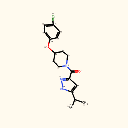 CC(C)c1cc(C(=O)N2CCC(Oc3ccc(Cl)cc3)CC2)n[nH]1